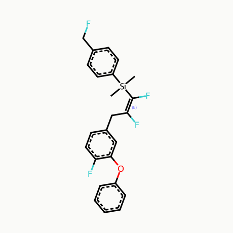 C[Si](C)(/C(F)=C(/F)Cc1ccc(F)c(Oc2ccccc2)c1)c1ccc(CF)cc1